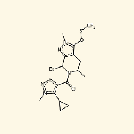 CCC1c2nn(C)c(OSC(F)(F)F)c2CC(C)N1C(=O)c1cnn(C)c1C1CC1